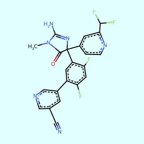 CN1C(=O)C(c2ccnc(C(F)F)c2)(c2cc(-c3cncc(C#N)c3)c(F)cc2F)N=C1N